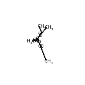 CCCCCC=CCC=CCCCCCCCC(=O)OCCCCOc1cc(CN(C)C)cc(OCCCCOC(=O)CC(CCCCCCCC)CCCCCCCC)c1